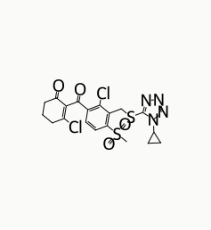 CS(=O)(=O)c1ccc(C(=O)C2=C(Cl)CCCC2=O)c(Cl)c1CSc1nnnn1C1CC1